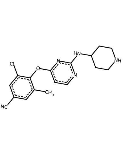 Cc1cc(C#N)cc(Cl)c1Oc1ccnc(NC2CCNCC2)n1